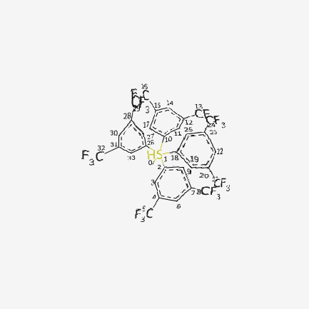 C[SH](c1cc(C(F)(F)F)cc(C(F)(F)F)c1)(c1cc(C(F)(F)F)cc(C(F)(F)F)c1)(c1cc(C(F)(F)F)cc(C(F)(F)F)c1)c1cc(C(F)(F)F)cc(C(F)(F)F)c1